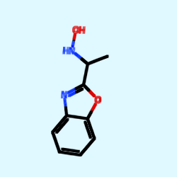 CC(NO)c1nc2ccccc2o1